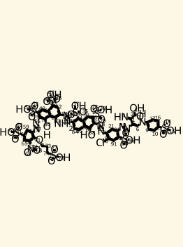 N=C(C(=O)O)C(=C\Nc1ccc(S(=O)(=O)O)cc1)/N=N/c1cc(N=Nc2c(S(=O)(=O)O)cc3c(S(=O)(=O)O)c(N=Nc4cc(S(=O)(=O)O)c5cc(S(=O)(=O)O)c(N=Nc6cc(S(=O)(=O)O)cc([N+](=O)[O-])c6OCCCS(=O)(=O)O)c(O)c5c4N)ccc3c2O)c(Cl)cc1S(=O)(=O)O